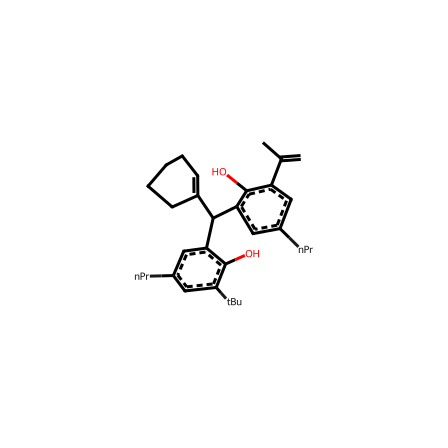 C=C(C)c1cc(CCC)cc(C(C2=CCCCC2)c2cc(CCC)cc(C(C)(C)C)c2O)c1O